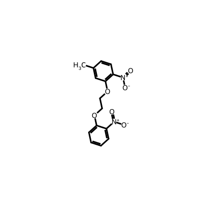 Cc1ccc([N+](=O)[O-])c(OCCOc2ccccc2[N+](=O)[O-])c1